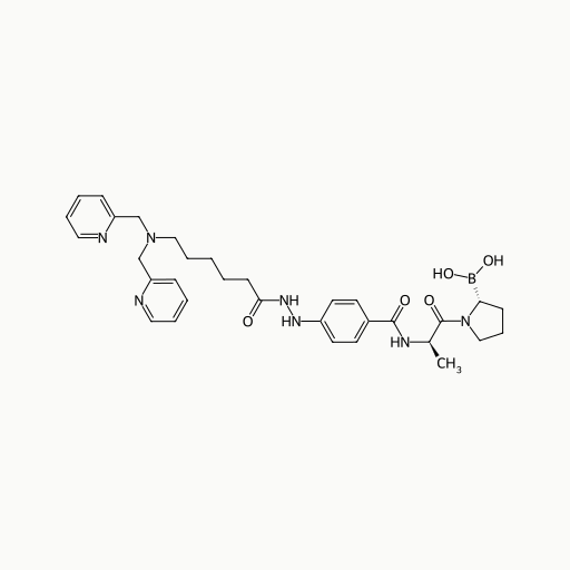 C[C@@H](NC(=O)c1ccc(NNC(=O)CCCCCN(Cc2ccccn2)Cc2ccccn2)cc1)C(=O)N1CCC[C@H]1B(O)O